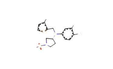 Cc1ccsc1CN(c1ccc(C#N)c(Cl)c1)[C@H]1CCN(S(C)(=O)=O)C1